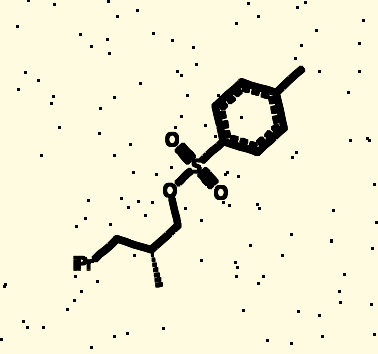 Cc1ccc(S(=O)(=O)OC[C@H](C)CC(C)C)cc1